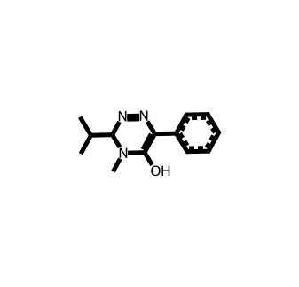 CC(C)C1N=NC(c2ccccc2)=C(O)N1C